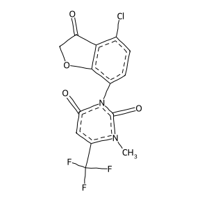 Cn1c(C(F)(F)F)cc(=O)n(-c2ccc(Cl)c3c2OCC3=O)c1=O